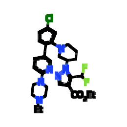 CCOC(=O)c1cnn(C2CCCN(c3cc(Cl)ccc3-c3ccc(N4CCN(CC)CC4)nc3)C2)c1C(F)F